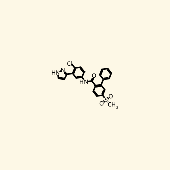 CS(=O)(=O)c1ccc(C(=O)Nc2ccc(Cl)c(-c3cc[nH]n3)c2)c(-c2ccccc2)c1